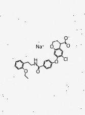 CCOc1ccccc1CCNC(=O)c1ccc(Oc2cc3c(cc2Cl)C(C(=O)[O-])CCO3)cc1.[Na+]